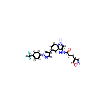 O=C(CCc1cnoc1)Nc1c[nH]c2ccc(-c3cnn(-c4ccc(C(F)(F)F)cc4)c3)cc12